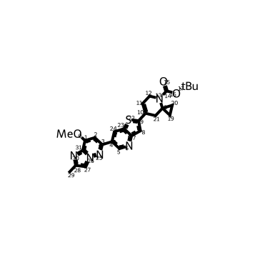 COc1cc(-c2cnc3cc(C4=CCN(C(=O)OC(C)(C)C)C5(CC5)C4)sc3c2)nn2cc(C)nc12